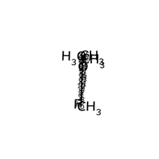 CC(F)CCCCCCCCCCCCCCCCOCCCC(C)(C)C